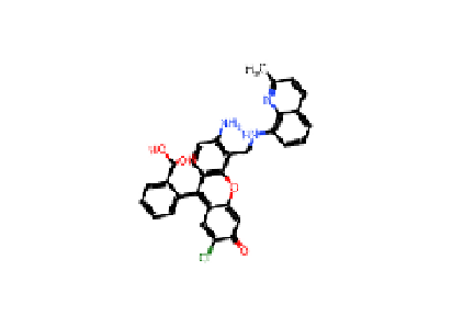 Cc1ccc2cccc(NCc3c(N)ccc4c(-c5ccccc5C(O)O)c5cc(Cl)c(=O)cc-5oc34)c2n1